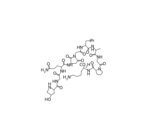 CC(C)CC(NC(=O)CN1C(=O)CC(NC(=O)C(CCC(N)=O)NC(=O)CNC(=O)C2CC(O)CN2)C1=O)C(=O)NC(C)C(=O)NCC(=O)N1CCCC1C(=O)NC(CCCCN)C(=O)O